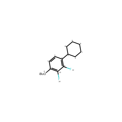 CC(C)COc1ccc(C2CCCCC2)c(F)c1F